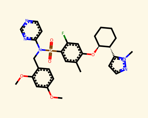 COc1ccc(CN(c2ccncn2)S(=O)(=O)c2cc(C)c(O[C@H]3CCCC[C@@H]3c3ccnn3C)cc2F)c(OC)c1